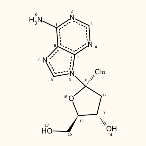 Nc1ncnc2c1ncn2[C@@]1(Cl)C[C@H](O)[C@@H](CO)O1